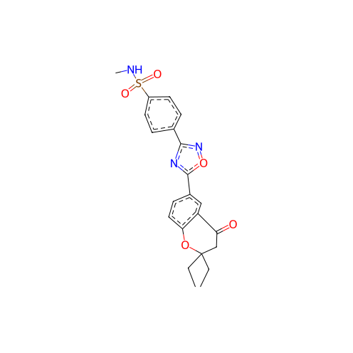 CCC1(CC)CC(=O)c2cc(-c3nc(-c4ccc(S(=O)(=O)NC)cc4)no3)ccc2O1